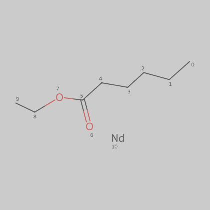 CCCCCC(=O)OCC.[Nd]